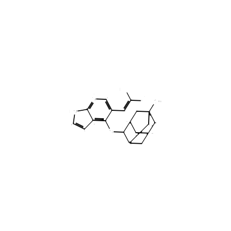 C/C(=C\c1cnc2[nH]ccc2c1NC1C2CC3CC1CC(O)(C3)C2)C(=O)O